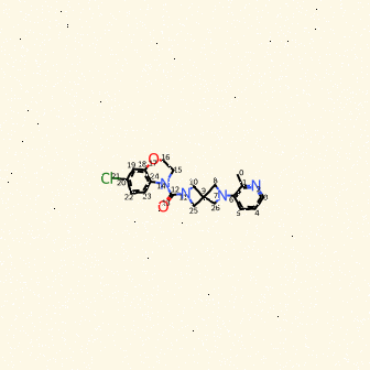 Cc1ncccc1N1CC2(CN(C(=O)N3CCOc4cc(Cl)ccc43)C2)C1